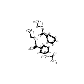 CC(C)=O.CCOC(=O)c1ccccc1.CCOC(=O)c1ccccc1